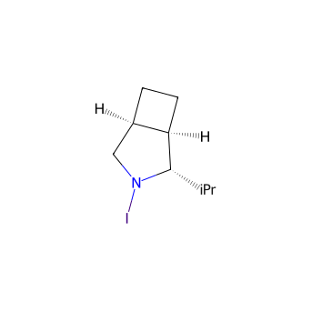 CC(C)[C@H]1[C@@H]2CC[C@@H]2CN1I